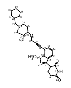 Cn1nc(C2CCC(=O)NC2=O)c2cccc(C#CCO[C@@H]3CCN(CC4CCCCC4)C[C@@H]3F)c21